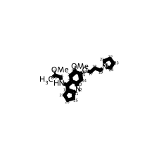 COc1cc2c(NC[C@@H](C)OC)c3c(nc2cc1OCCCN1CCCC1)CCC3